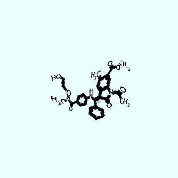 COC(=O)c1cc2c(cc1C)/C(=C(\Nc1ccc(C(=O)N(C)OCCO)cc1)c1ccccc1)C(=O)N2C(C)=O